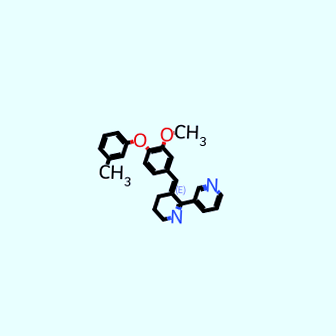 COc1cc(/C=C2\CCCN=C2c2cccnc2)ccc1Oc1cccc(C)c1